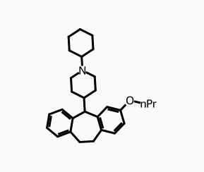 CCCOc1ccc2c(c1)C(C1CCN(C3CCCCC3)CC1)c1ccccc1CC2